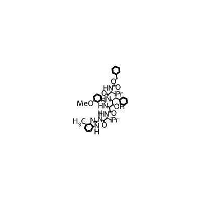 COc1cccc(CNC(C(=O)N[C@H](C(=O)Nc2nc3c(C)cccc3[nH]2)C(C)C)C(O)[C@H](Cc2ccccc2)NC(=O)[C@@H](NC(=O)OCc2ccccc2)C(C)C)c1